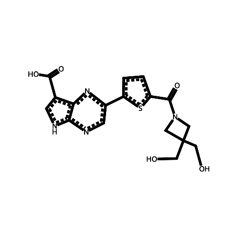 O=C(O)c1c[nH]c2ncc(-c3ccc(C(=O)N4CC(CO)(CO)C4)s3)nc12